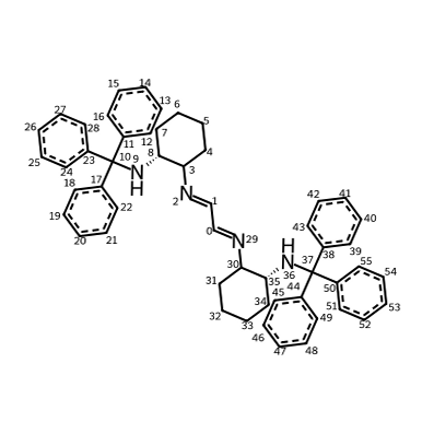 C(/C=N/C1CCCC[C@H]1NC(c1ccccc1)(c1ccccc1)c1ccccc1)=N\C1CCCC[C@H]1NC(c1ccccc1)(c1ccccc1)c1ccccc1